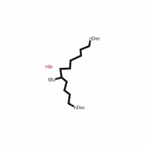 Br.CCCCCCCCCCCCCCCCC(CCCCCCCCCCCCCC)C(C)(C)C